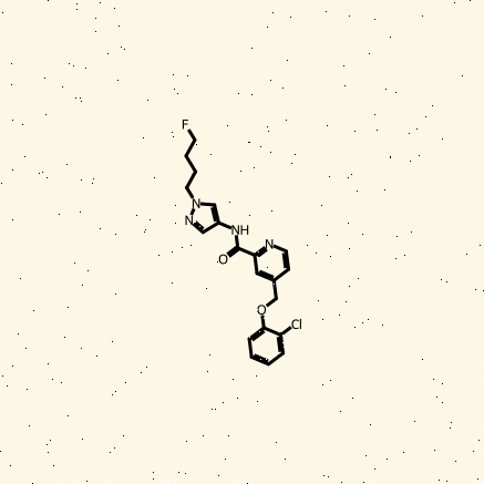 O=C(Nc1cnn(CCCCF)c1)c1cc(COc2ccccc2Cl)ccn1